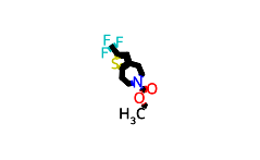 CCOC(=O)N1CCc2cc(C(F)(F)F)sc2CC1